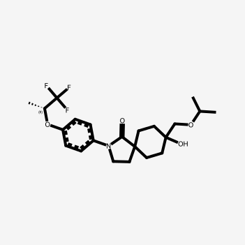 CC(C)OCC1(O)CCC2(CCN(c3ccc(O[C@H](C)C(F)(F)F)cc3)C2=O)CC1